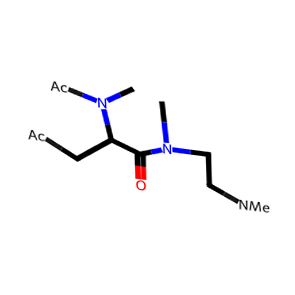 CNCCN(C)C(=O)C(CC(C)=O)N(C)C(C)=O